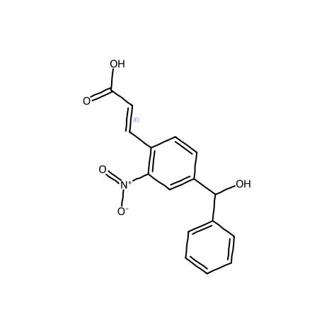 O=C(O)/C=C/c1ccc(C(O)c2ccccc2)cc1[N+](=O)[O-]